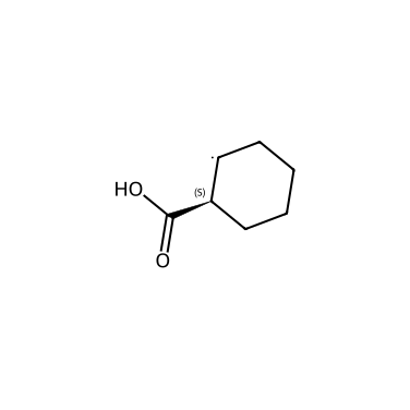 O=C(O)[C@H]1[CH]CCCC1